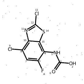 O=C(O)Nc1c(F)cc(Cl)c2nc(Cl)sc12